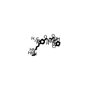 Cn1nc(CCCNC2=NCCN2)c2ccc(C(=O)NCC(NS(=O)(=O)c3c(Cl)cccc3Cl)C(=O)O)cc21